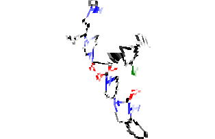 CCNCCC(C)N1CCN(C(=O)[C@@H](Cc2cc(C)cc(Br)c2)OC(=O)N2CCC(N3CCc4ccccc4NC3=O)CC2)CC1